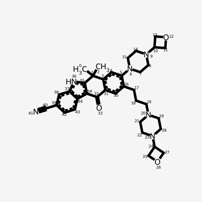 CC1(C)c2cc(N3CCN(C4COC4)CC3)c(CCCN3CCN(C4COC4)CC3)cc2C(=O)c2c1[nH]c1cc(C#N)ccc21